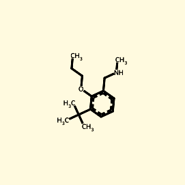 CCCOc1c(CNC)cccc1C(C)(C)C